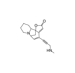 CNCC#CC1=CC2CC3(OC(=O)C=C13)C1CCCCN21